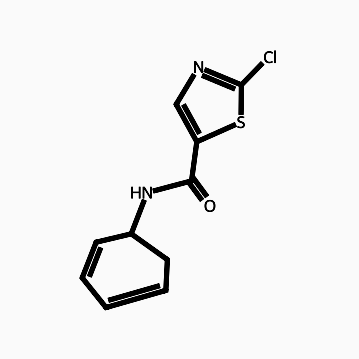 O=C(NC1C=CC=CC1)c1cnc(Cl)s1